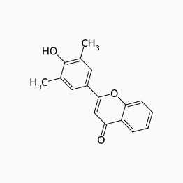 Cc1cc(-c2cc(=O)c3ccccc3o2)cc(C)c1O